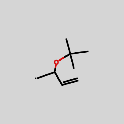 [CH2]C(C=C)OC(C)(C)C